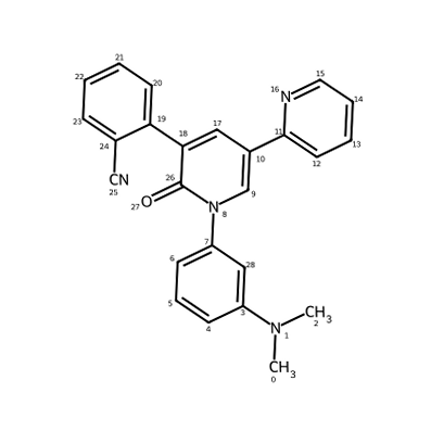 CN(C)c1cccc(-n2cc(-c3ccccn3)cc(-c3ccccc3C#N)c2=O)c1